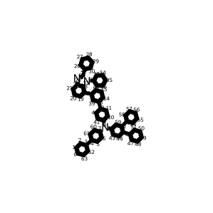 c1ccc(-c2ccc(N(c3ccc(-c4cccc(-c5cccc6nc(-c7ccccc7)n(-c7ccccc7)c56)c4)cc3)c3ccc(-c4ccccc4)c(-c4ccccc4)c3)cc2)cc1